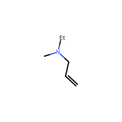 C=CCN(C)CC